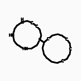 C1CCCCCCCC(N2CCCCCNCCNCCCNCC2)CCCCCCC1